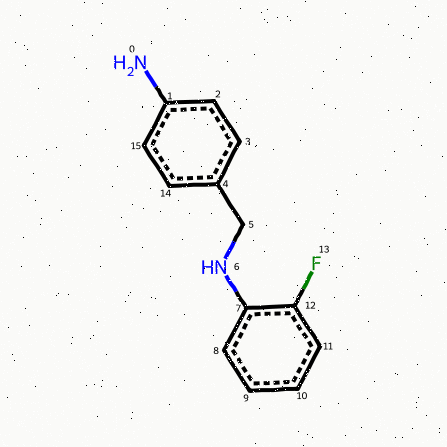 Nc1ccc(CNc2ccccc2F)cc1